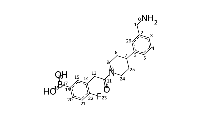 NCc1cccc(C2CCN(C(=O)Cc3cc(B(O)O)ccc3F)CC2)c1